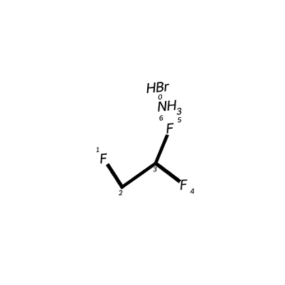 Br.FCC(F)F.N